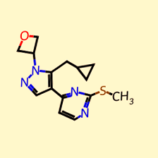 CSc1nccc(-c2cnn(C3COC3)c2CC2CC2)n1